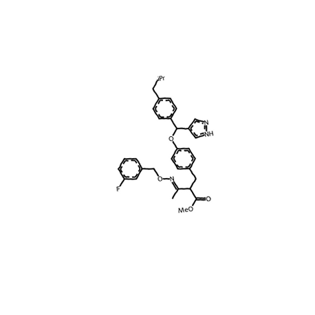 COC(=O)C(Cc1ccc(OC(c2ccc(CC(C)C)cc2)c2cn[nH]c2)cc1)C(C)=NOCc1cccc(F)c1